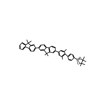 Cc1cc(-c2ccc3c(c2)C(C)(C)c2cc(-c4ccc5c(c4)C(C)(C)c4ccccc4-5)ccc2-3)cc(C)c1-c1ccc(B2OC(C)(C)C(C)(C)O2)cc1